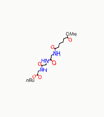 CCCCOC(=O)CNC(=O)CNC(=O)CNC(=O)CCCCC(=O)OC